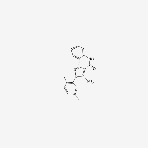 Cc1ccc(C)c(-n2nc3c(c2N)c(=O)[nH]c2ccccc23)c1